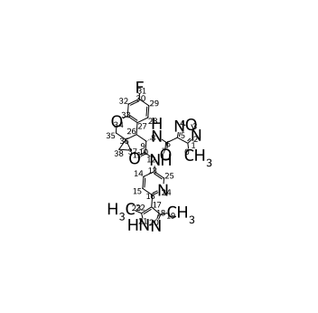 Cc1nonc1C(=O)N[C@H](C(=O)Nc1ccc(-c2c(C)n[nH]c2C)nc1)C1c2ccc(F)cc2OCC12CC2